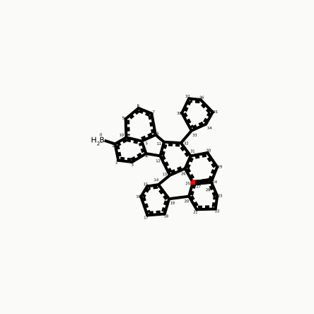 Bc1ccc2c3c(cccc13)-c1c-2c(-c2ccccc2-c2ccccc2)c2ccccc2c1-c1ccccc1